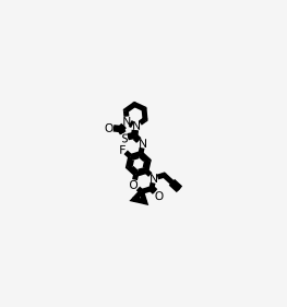 C#CCN1C(=O)C2(CC2)Oc2cc(F)c(/N=c3\sc(=O)n4n3CCCC4)cc21